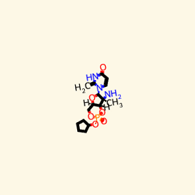 C=C1NC(=O)C=CN1[C@@H]1O[C@@H]2CO[P@@](=O)(OC3CCCC3)O[C@H]2[C@@]1(C)N